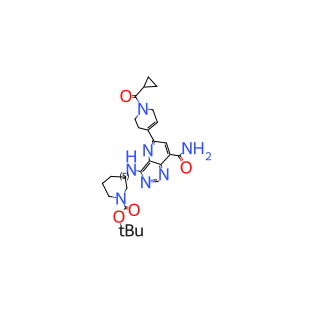 CC(C)(C)OC(=O)N1CCC[C@H](Nc2ncnc3c(C(N)=O)cc(C4=CCN(C(=O)C5CC5)CC4)nc23)C1